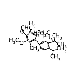 COc1c(C)c(P)c(-c2ccc(C(C)C)c(C(C)C)c2C(C)C)c(C)c1OC